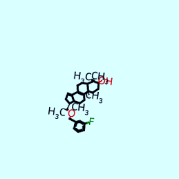 CC(OCc1cccc(F)c1)[C@H]1CC=C2C3=C(CC[C@@]21C)[C@@]1(C)CC[C@H](O)C(C)(C)C1CC3